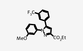 CCOC(=O)c1cc(-c2cccc(C(F)(F)F)c2)n(-c2cccc(OC)c2)n1